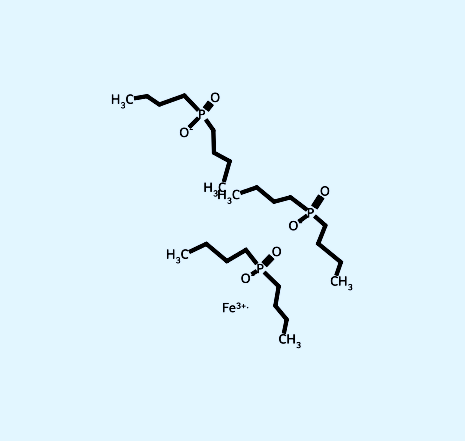 CCCCP(=O)([O-])CCCC.CCCCP(=O)([O-])CCCC.CCCCP(=O)([O-])CCCC.[Fe+3]